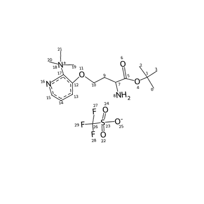 CC(C)(C)OC(=O)C(N)CCOc1cccnc1[N+](C)(C)C.O=S(=O)([O-])C(F)(F)F